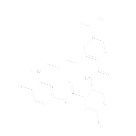 C[S+]([O-])c1ccc(C(=O)Nc2ccc(F)cc2C(=O)Nc2ccc(Cl)cn2)c(OCCCN)c1